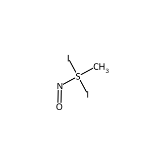 CS(I)(I)N=O